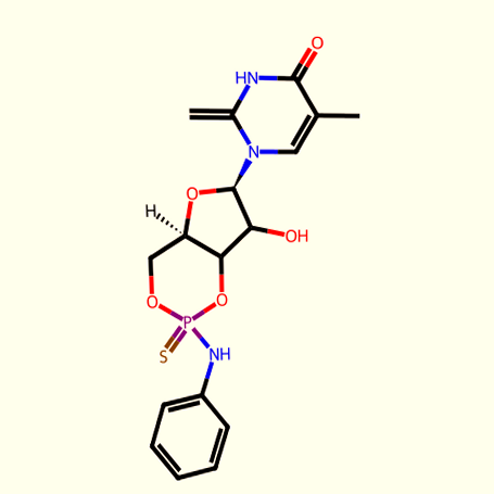 C=C1NC(=O)C(C)=CN1[C@@H]1O[C@@H]2COP(=S)(Nc3ccccc3)OC2C1O